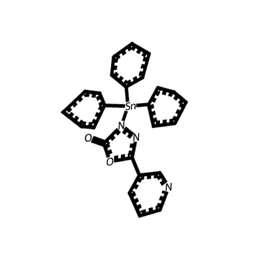 O=c1oc(-c2cccnc2)n[n]1[Sn]([c]1ccccc1)([c]1ccccc1)[c]1ccccc1